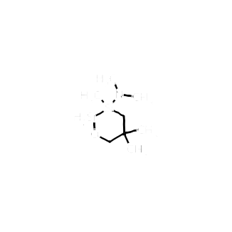 CN(C)[Si]1(C)CC(C)(C)CO[SiH2]1